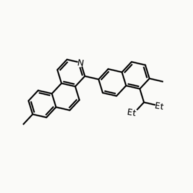 CCC(CC)c1c(C)ccc2cc(-c3nccc4c3ccc3cc(C)ccc34)ccc12